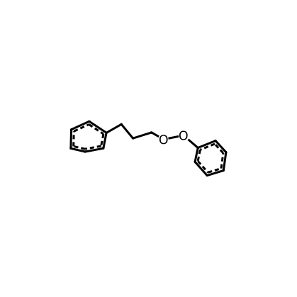 c1ccc(CCCOOc2ccccc2)cc1